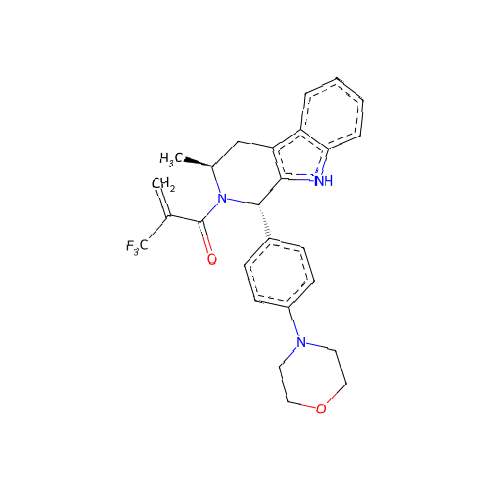 C=C(C(=O)N1[C@@H](c2ccc(N3CCOCC3)cc2)c2[nH]c3ccccc3c2C[C@@H]1C)C(F)(F)F